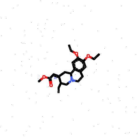 CCOc1cc2c(cc1OCC)C1C/C(=C/C(=O)OC)C(CC)CN1CC2